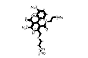 COCCOC(=O)C1=C(CSCCNC=O)NC(C)=C(C(=O)OC)C1c1cccc(SC)c1